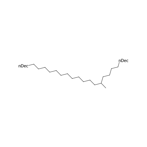 CCCCCCCCCCCCCCCCCCCCCCC(C)CCCCCCCCCCCCCC